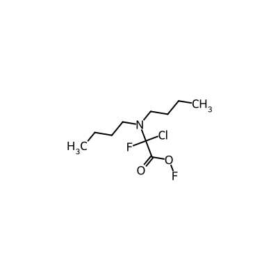 CCCCN(CCCC)C(F)(Cl)C(=O)OF